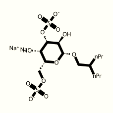 CCCC(CCC)CO[C@@H]1O[C@H](COS(=O)(=O)[O-])[C@H](O)[C@H](OS(=O)(=O)[O-])[C@H]1O.[Na+].[Na+]